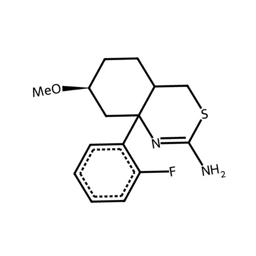 CO[C@H]1CCC2CSC(N)=NC2(c2ccccc2F)C1